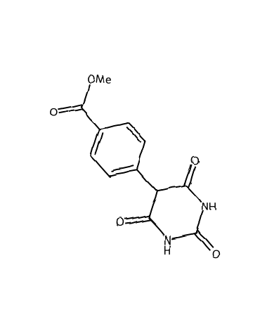 COC(=O)c1ccc(C2C(=O)NC(=O)NC2=O)cc1